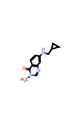 Cn1cnc2cc(NCC3CC3)ccc2c1=O